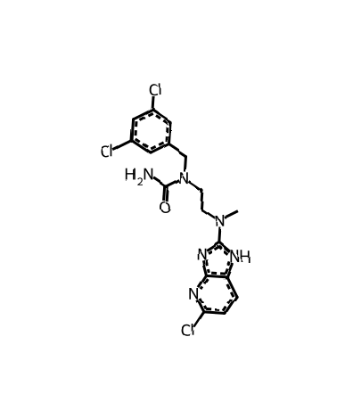 CN(CCN(Cc1cc(Cl)cc(Cl)c1)C(N)=O)c1nc2nc(Cl)ccc2[nH]1